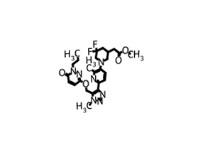 CCCn1nc(OCc2c(-c3ccc(N4CC(CC(=O)OC)CC(F)(F)C4)c(C)n3)nnn2C)ccc1=O